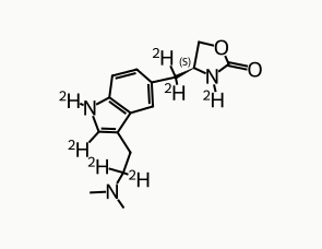 [2H]c1c(CC([2H])([2H])N(C)C)c2cc(C([2H])([2H])[C@H]3COC(=O)N3[2H])ccc2n1[2H]